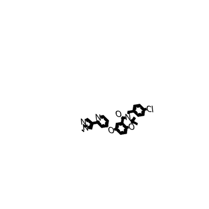 Cn1cc(-c2cc(Oc3ccc4c(c3)C(=O)N(Cc3ccc(Cl)cc3)C(C)(C)O4)ccn2)cn1